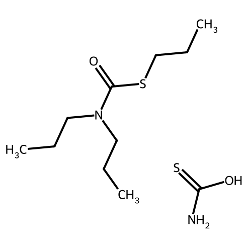 CCCSC(=O)N(CCC)CCC.NC(O)=S